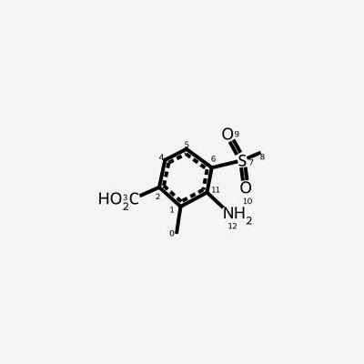 Cc1c(C(=O)O)ccc(S(C)(=O)=O)c1N